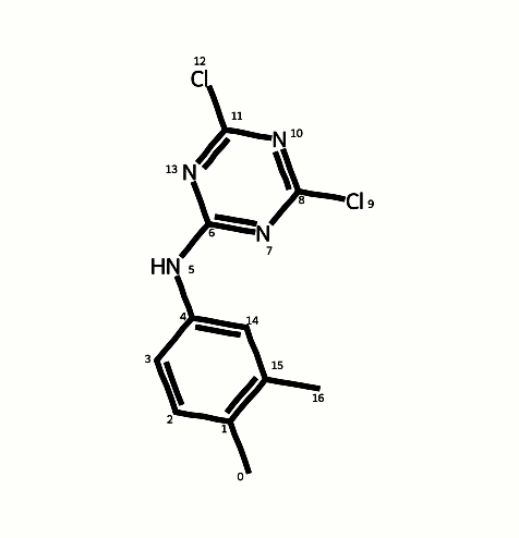 Cc1ccc(Nc2nc(Cl)nc(Cl)n2)cc1C